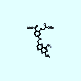 COC(=O)COc1cc(NCc2cnc3nc(N)nc(N)c3n2)ccc1C(=O)OC